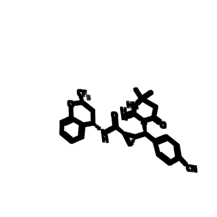 CC1(C)CC(=O)N([C@@H](c2ccc(C#N)cc2)[C@@H]2C[C@H]2C(=O)N[C@H]2C[C@H](C(F)(F)F)Oc3ccccc32)C(=N)N1